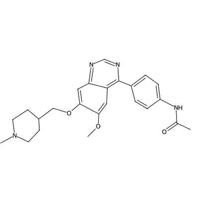 COc1cc2c(-c3ccc(NC(C)=O)cc3)ncnc2cc1OCC1CCN(C)CC1